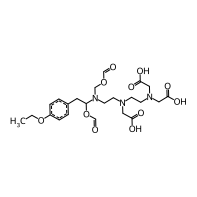 CCOc1ccc(CC(OC=O)N(CCN(CCN(CC(=O)O)CC(=O)O)CC(=O)O)COC=O)cc1